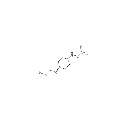 COCCO[C@H]1CC[C@H](NCC(C)C)CC1